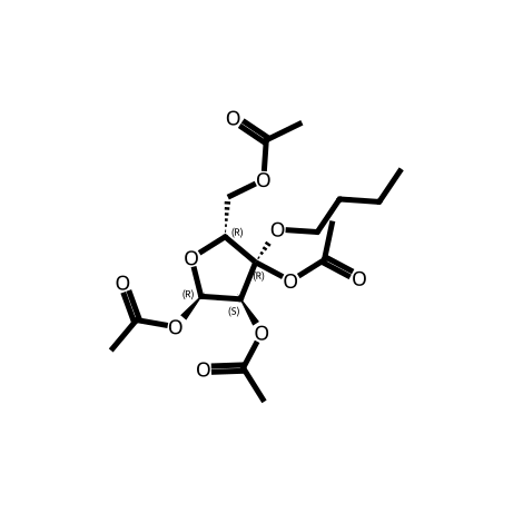 CCCCO[C@@]1(OC(C)=O)[C@@H](COC(C)=O)O[C@H](OC(C)=O)[C@@H]1OC(C)=O